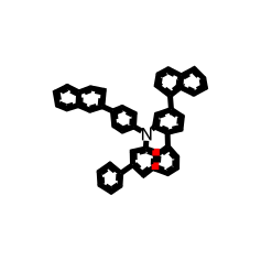 c1ccc(-c2cccc(N(c3ccc(-c4ccc5ccccc5c4)cc3)c3cc(-c4cccc5ccccc45)ccc3-c3ccccc3)c2)cc1